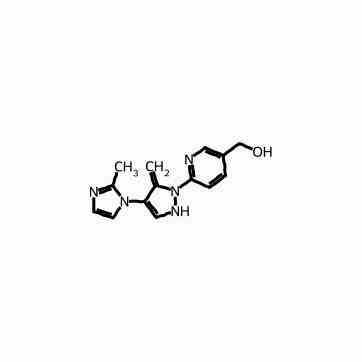 C=C1C(n2ccnc2C)=CNN1c1ccc(CO)cn1